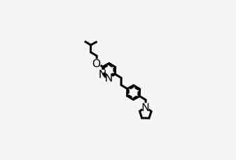 CC(C)CCOc1ccc(CCc2ccc(CN3CCCC3)cc2)nn1